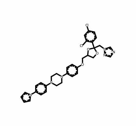 Clc1ccc(C2(Cn3cncn3)OCC(COc3ccc(N4CCN(c5ccc(-n6cccc6)cc5)CC4)cc3)O2)c(Cl)c1